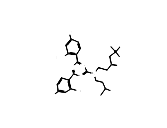 CC(C)CCN(CCC(C)CC(C)(C)C)c1nc(-c2ccc(O)cc2O)nc(-c2ccc(O)cc2O)n1